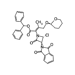 CC(CO[C@@H]1CCCCO1)=C(C(=O)OC(c1ccccc1)c1ccccc1)N1C(=O)[C@H](N2C(=O)c3ccccc3C2=O)[C@H]1Cl